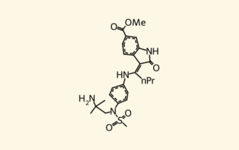 CCCC(Nc1ccc(N(CC(C)(C)N)S(C)(=O)=O)cc1)=C1C(=O)Nc2cc(C(=O)OC)ccc21